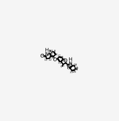 CC1c2cc(Oc3ccnc4c3CCC(=O)N4)ccc2OC1c1nc2ccncc2[nH]1